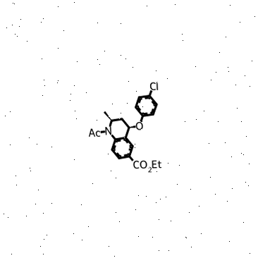 CCOC(=O)c1ccc2c(c1)[C@H](Oc1ccc(Cl)cc1)C[C@H](C)N2C(C)=O